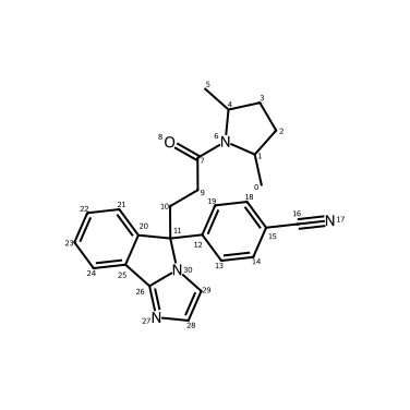 CC1CCC(C)N1C(=O)CCC1(c2ccc(C#N)cc2)c2ccccc2-c2nccn21